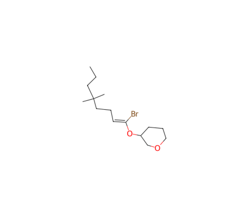 CCCC(C)(C)CCC=C(Br)OC1CCCOC1